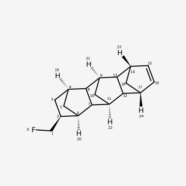 FC[C@H]1C[C@@H]2C[C@H]1C1C2[C@@H]2C[C@H]1C1C2[C@@H]2C=C[C@H]1C2